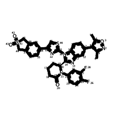 Cc1noc(C)c1-c1ccc2c(c1)nc([C@@H]1CCCC(=O)N1c1ccc(F)c(F)c1)n2-c1nc(-c2ccc3c(c2)CS(=O)(=O)C3)cs1